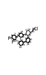 Fc1ccc(-c2ccc(C3CCC(/C=C/Cl)CC3)cc2)cc1F.c1ccc(-c2ccccc2)cc1